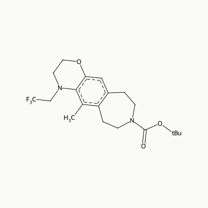 Cc1c2c(cc3c1N(CC(F)(F)F)CCO3)CCN(C(=O)OC(C)(C)C)CC2